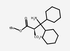 CC(C)(C)OC(=O)[C@H](C(=O)O)C(N)(C1CCCCC1)C1CCCCC1